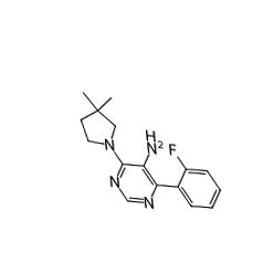 CC1(C)CCN(c2ncnc(-c3ccccc3F)c2N)C1